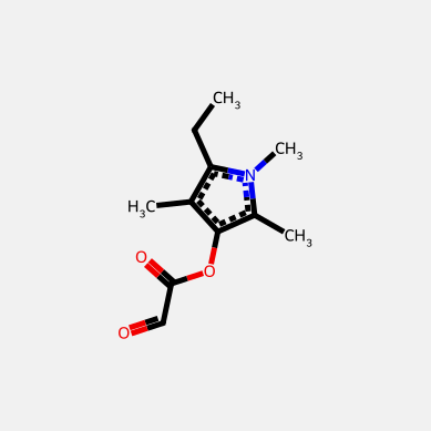 CCc1c(C)c(OC(=O)C=O)c(C)n1C